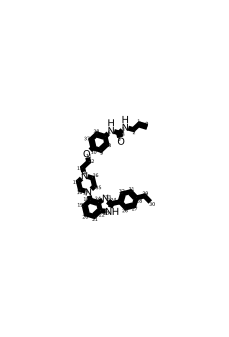 C=CCNC(=O)Nc1ccc(OCCN2CCN(c3cccc4[nH]c(-c5ccc(CC)cc5)nc34)CC2)cc1